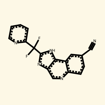 N#Cc1ccc2ncc3nc(C(F)(F)c4ccccn4)[nH]c3c2c1